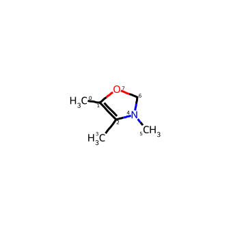 CC1=C(C)N(C)CO1